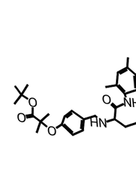 CCC(NCc1ccc(OC(C)(C)C(=O)OC(C)(C)C)cc1)C(=O)Nc1ccc(C)cc1C